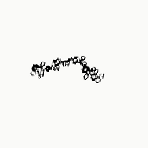 Cc1cccc(C(=O)NC2CC(n3cnc4c(NCCCN5CCN(C(=O)COc6ccc7c(c6)C(=O)N([C@@H]6CCC(=O)NC6=O)C7=O)CC5)ncnc43)C2)n1